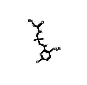 CCOC(=O)c1cnc(Cl)nc1NCC(C)(C)CNC(=O)OC(C)(C)C